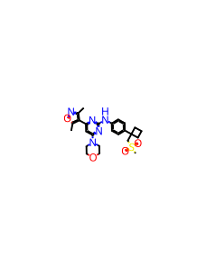 Cc1noc(C)c1-c1cc(N2CCOCC2)nc(Nc2ccc(C3(CS(C)(=O)=O)CCC3)cc2)n1